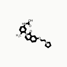 Cc1ccc(NC(=O)O)cc1-n1ccc2ccc(OCCN3CCCC3)cc2c1=O